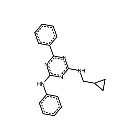 c1ccc(Nc2nc(NCC3CC3)nc(-c3ccccc3)n2)cc1